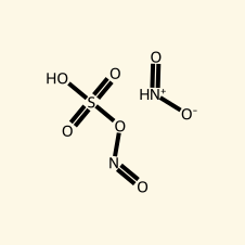 O=NOS(=O)(=O)O.O=[NH+][O-]